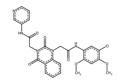 COc1cc(OC)c(NC(=O)Cn2c(=O)n(CC(=O)Nc3cccnc3)c(=O)c3ccccc32)cc1Cl